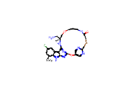 CNc1cc(F)cc2c1[nH]c1nc3nc(c12)N[C@H](CN)COCCCNC(=O)CSc1ncc(cn1)O3